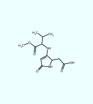 COC(=O)C(NC1=CC(=O)NC1CC(=O)O)C(C)C